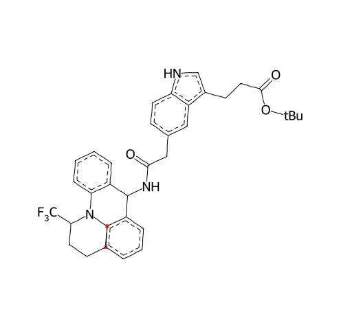 CC(C)(C)OC(=O)CCc1c[nH]c2ccc(CC(=O)NC(c3ccccc3)c3ccccc3N3CCCCC3C(F)(F)F)cc12